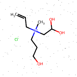 C=CC[N+](C)(CCCO)CC(O)O.[Cl-]